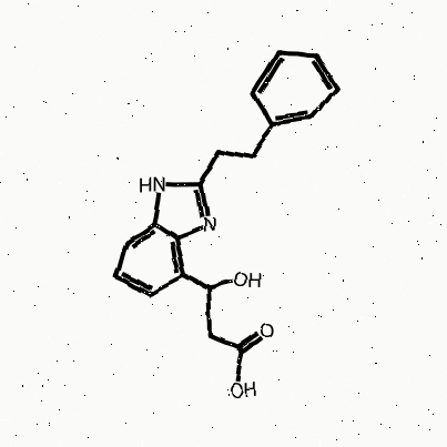 O=C(O)CC(O)c1cccc2[nH]c(CCc3ccccc3)nc12